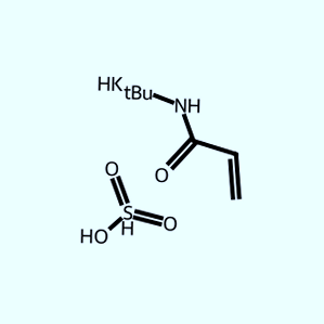 C=CC(=O)NC(C)(C)C.O=[SH](=O)O.[KH]